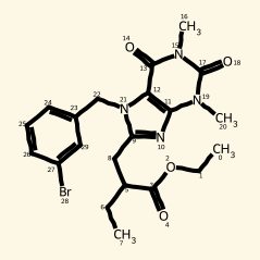 CCOC(=O)C(CC)Cc1nc2c(c(=O)n(C)c(=O)n2C)n1Cc1cccc(Br)c1